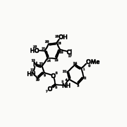 COc1ccc(NC(=O)Oc2c[nH]nc2-c2cc(Cl)c(O)cc2O)cc1